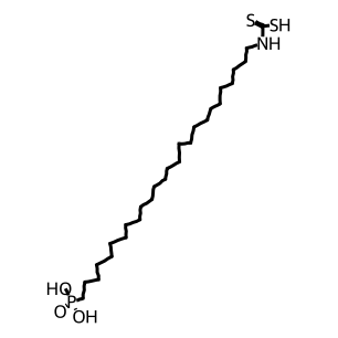 O=P(O)(O)CCCCCCCCCCCCCCCCCCCCCCCCCCNC(=S)S